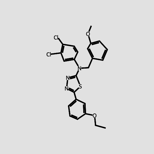 CCOc1cccc(-c2nnc(N(Cc3cccc(OC)c3)c3ccc(Cl)c(Cl)c3)s2)c1